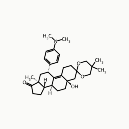 CN(C)c1ccc([C@H]2C[C@]3(C)C(=O)CC[C@H]3[C@@H]3CC[C@@]4(O)CC5(CCC4=C32)OCC(C)(C)CO5)cc1